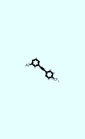 CC(=O)c1cccc(C#Cc2ccc(C(F)(F)F)cc2)c1